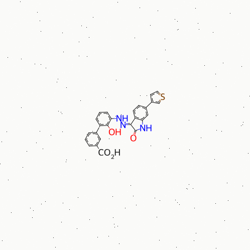 O=C1Nc2cc(-c3ccsc3)ccc2C1=NNc1cccc(-c2cccc(C(=O)O)c2)c1O